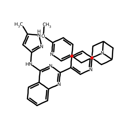 COc1ccc(CN2CC3CC(C2)N3c2ccc(-c3nc(Nc4cc(C)[nH]n4)c4ccccc4n3)cn2)cn1